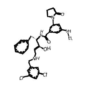 CCNc1cc(C(=O)N[C@@H](Cc2ccccc2)[C@@H](O)CNCc2cc(Cl)cc(Cl)c2)cc(N2CCCC2=O)c1